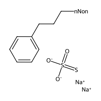 CCCCCCCCCCCCc1ccccc1.O=S([O-])([O-])=S.[Na+].[Na+]